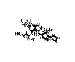 CCC[C@@H](CCO)Nc1nc(NC(=O)O)nc2cnn(Cc3ccc(C4CCCN4)cc3OC)c12